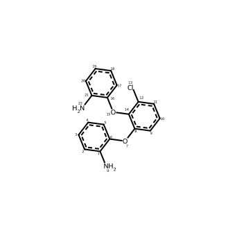 Nc1ccccc1Oc1cccc(Cl)c1Oc1ccccc1N